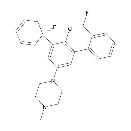 CN1CCN(c2cc(-c3ccccc3CF)c(Cl)c([C@@]3(F)C=CC=CC3)c2)CC1